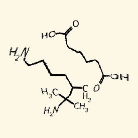 CC(CCCCN)C(C)(C)N.O=C(O)CCCCC(=O)O